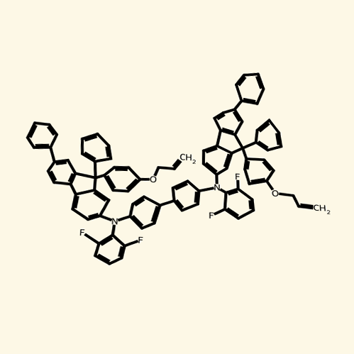 C=CCOc1ccc(C2(c3ccccc3)c3cc(-c4ccccc4)ccc3-c3ccc(N(c4ccc(-c5ccc(N(c6ccc7c(c6)C(c6ccccc6)(c6ccc(OCC=C)cc6)c6cc(-c8ccccc8)ccc6-7)c6c(F)cccc6F)cc5)cc4)c4c(F)cccc4F)cc32)cc1